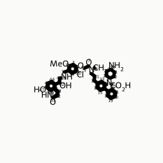 COc1cc(OCC(=O)N(C)CCCc2ccc(-c3ccccc3)c(N(C(=O)O)C3CCC(N)CC3)c2)c(Cl)cc1CNC[C@@H](O)c1ccc(O)c2[nH]c(=O)ccc12